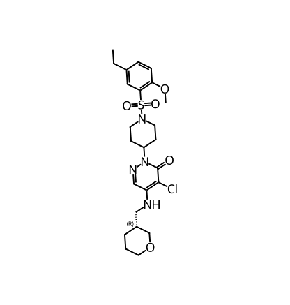 CCc1ccc(OC)c(S(=O)(=O)N2CCC(n3ncc(NC[C@H]4CCCOC4)c(Cl)c3=O)CC2)c1